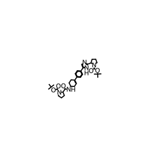 CC(C)(C)OC(=O)N1CCCC1C(=O)NC1CC=C(c2ccc(-c3cnc(C4CCCN4C(=O)OC(C)(C)C)[nH]3)cc2)CC1